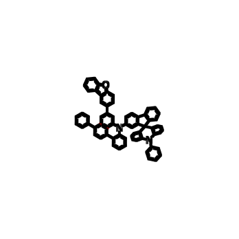 c1ccc(-c2ccc(-c3ccccc3N(c3cccc(-c4ccc5oc6ccccc6c5c4)c3)c3ccc4c(c3)C3(c5ccccc5-4)c4ccccc4N(c4ccccc4)c4ccccc43)cc2)cc1